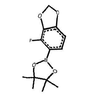 CC1(C)OB(c2ccc3c(c2F)OCO3)OC1(C)C